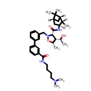 C[C@@H]1[C@@H](NC(=O)[C@@H]2[C@H]([C@H](C)O)[C@H](C)ON2Cc2cccc(-c3cccc(C(=O)NCCCCN(C)C)c3)c2)C[C@H]2C[C@@H]1C2(C)C